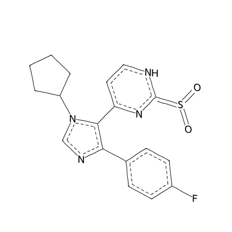 O=S(=O)=c1nc(-c2c(-c3ccc(F)cc3)ncn2C2CCCC2)cc[nH]1